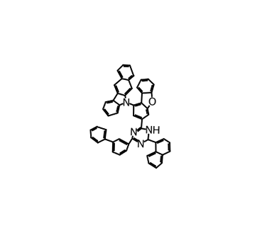 c1ccc(-c2cccc(C3=NC(c4cccc5ccccc45)NC(c4cc(-n5c6ccccc6c6cc7ccccc7cc65)c5c(c4)oc4ccccc45)=N3)c2)cc1